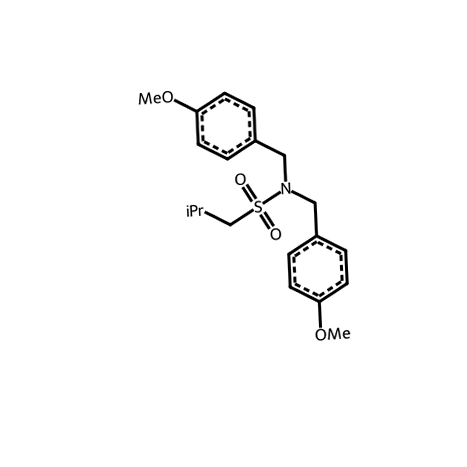 COc1ccc(CN(Cc2ccc(OC)cc2)S(=O)(=O)CC(C)C)cc1